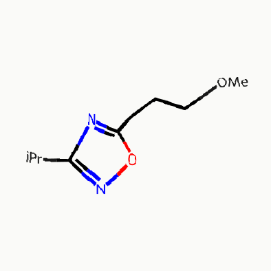 COCCc1nc(C(C)C)no1